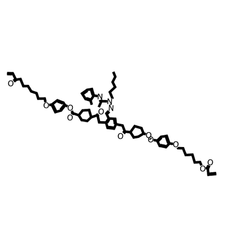 C=CC(=O)CCCCCCCOc1ccc(OC(=O)C2CCC(C(=O)Cc3ccc(CC(=O)C4CCC(OOc5ccc(OCCCCCCOC(=O)C=C)cc5)CC4)cc3/C=N/N(CCCCCC)/C(C)=N/c3ccccc3C)CC2)cc1